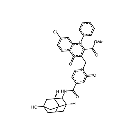 COC(=O)c1c(Cn2ccc(C(=O)NC3[C@@H]4CC5C[C@H]3CC(O)(C5)C4)cc2=O)c(=O)c2ccc(Cl)cc2n1-c1ccccc1